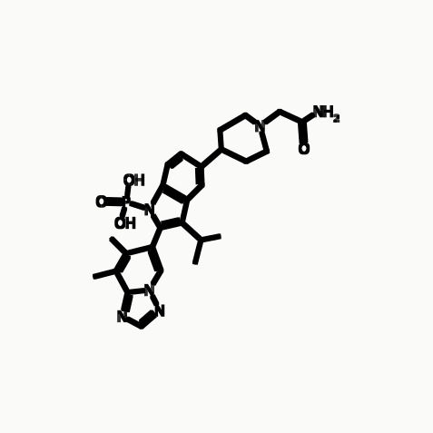 Cc1c(-c2c(C(C)C)c3cc(C4CCN(CC(N)=O)CC4)ccc3n2P(=O)(O)O)cn2ncnc2c1C